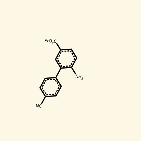 CCOC(=O)c1ccc(N)c(-c2ccc(C#N)cc2)c1